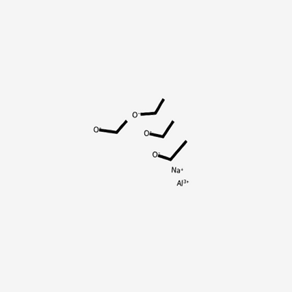 CC[O-].CC[O-].CC[O-].CC[O-].[Al+3].[Na+]